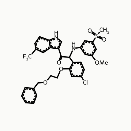 COc1cc(NC(C(=O)c2c[nH]c3ccc(C(F)(F)F)cc23)c2ccc(Cl)cc2OCCOCc2ccccc2)cc(S(C)(=O)=O)c1